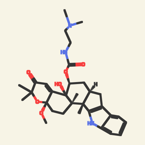 CO[C@]12CC[C@]3(C)[C@@]4(C)c5[nH]c6ccccc6c5C[C@@H]4C[C@H](OC(=O)NCCN(C)C)[C@@]3(O)C1=CC(=O)C(C)(C)O2